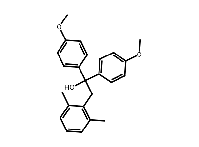 COc1ccc(C(O)(Cc2c(C)c[c]cc2C)c2ccc(OC)cc2)cc1